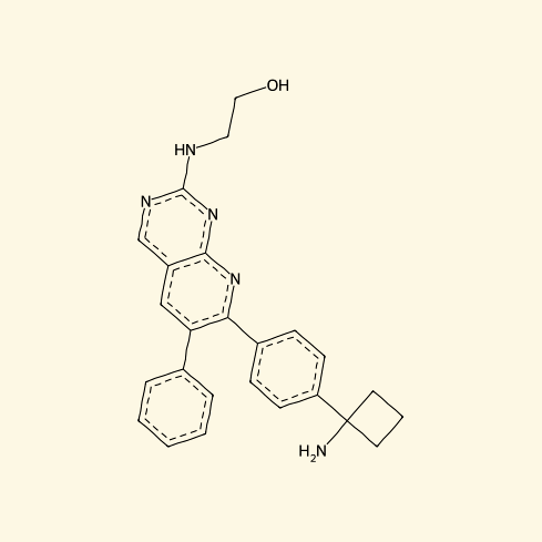 NC1(c2ccc(-c3nc4nc(NCCO)ncc4cc3-c3ccccc3)cc2)CCC1